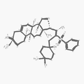 CCC1(C)CCC(O)(CC([C@@H](C)[C@H]2CC[C@H]3[C@@H]4CC=C5C[C@](O)(C(F)(F)F)CC[C@]5(C)[C@H]4CC[C@]23C)S(=O)(=O)c2ccccc2)CC1